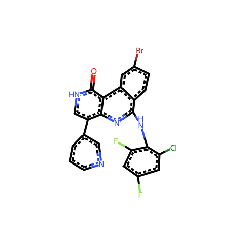 O=c1[nH]cc(-c2cccnc2)c2nc(Nc3c(F)cc(F)cc3Cl)c3ccc(Br)cc3c12